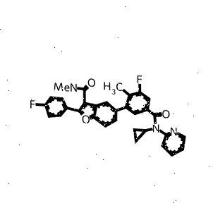 CNC(=O)c1c(-c2ccc(F)cc2)oc2ccc(-c3cc(C(=O)N(c4ccccn4)C4CC4)cc(F)c3C)cc12